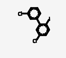 Clc1cccc(-c2cc(Cl)ccc2I)c1